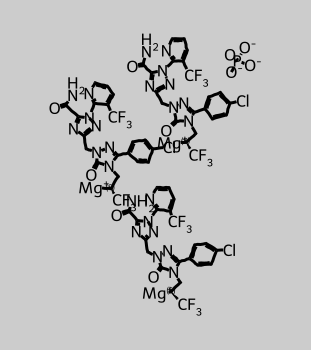 NC(=O)c1nc(Cn2nc(-c3ccc(Cl)cc3)n(C[C@H]([Mg+])C(F)(F)F)c2=O)nn1-c1ncccc1C(F)(F)F.NC(=O)c1nc(Cn2nc(-c3ccc(Cl)cc3)n(C[C@H]([Mg+])C(F)(F)F)c2=O)nn1-c1ncccc1C(F)(F)F.NC(=O)c1nc(Cn2nc(-c3ccc(Cl)cc3)n(C[C@H]([Mg+])C(F)(F)F)c2=O)nn1-c1ncccc1C(F)(F)F.O=P([O-])([O-])[O-]